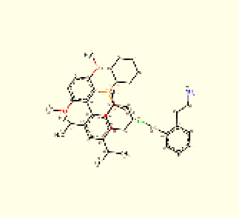 COc1ccc(OC)c(P(C2CCCCC2)C2CCCCC2)c1-c1c(C(C)C)cc(C(C)C)cc1C(C)C.NCCc1cccc[c]1[Pd][Cl]